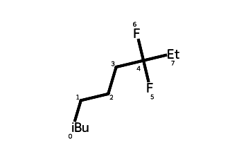 CCC(C)CCCC(F)(F)CC